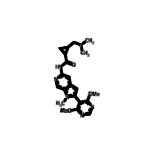 COc1ncnc(OC)c1-c1cc2cc(NC(=O)C3CC3CN(C)C)ncc2n1C